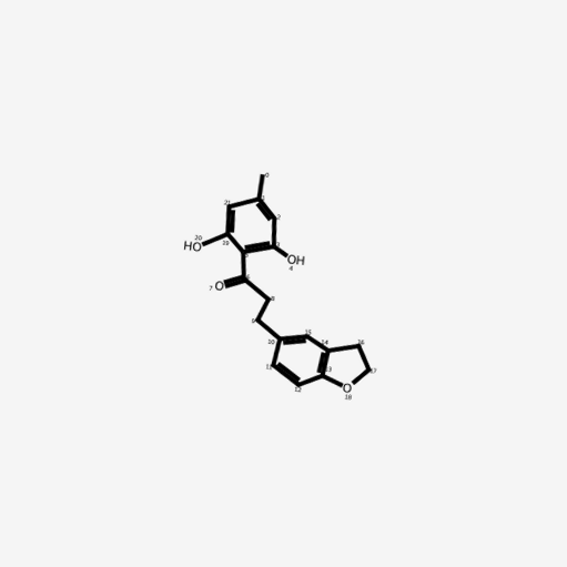 Cc1cc(O)c(C(=O)CCc2ccc3c(c2)CCO3)c(O)c1